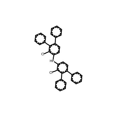 Clc1c(Pc2ccc(-c3ccccc3)c(-c3ccccc3)c2Cl)ccc(-c2ccccc2)c1-c1ccccc1